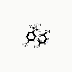 Cc1ccc(S(=O)(=O)O)cc1.O=C(O)/C=C\C(=O)O